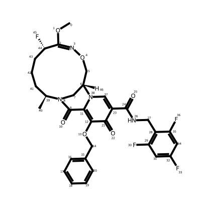 CO/C1=N/OC[C@H]2CN(C(=O)c3c(OCc4ccccc4)c(=O)c(C(=O)NCc4c(F)cc(F)cc4F)cn32)[C@@H](C)CCC[C@@H]1F